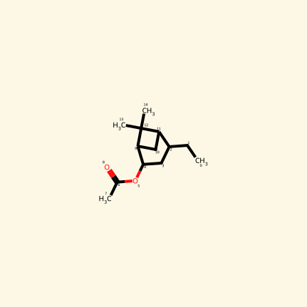 CCC1CC(OC(C)=O)C2CC1C2(C)C